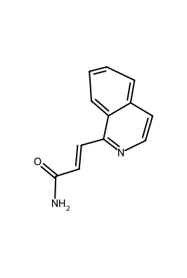 NC(=O)C=Cc1nccc2ccccc12